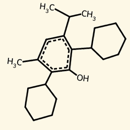 Cc1cc(C(C)C)c(C2CCCCC2)c(O)c1C1CCCCC1